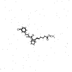 COC(=O)CCCC=CC1C2CCC(C2)C1C(=O)NCCc1cccc(Cl)c1